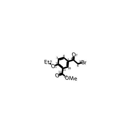 CCOc1ccc(C(=O)CBr)cc1C(=O)OC